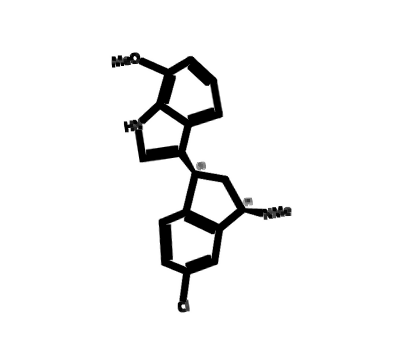 CN[C@@H]1C[C@H](c2c[nH]c3c(OC)cccc23)c2ccc(Cl)cc21